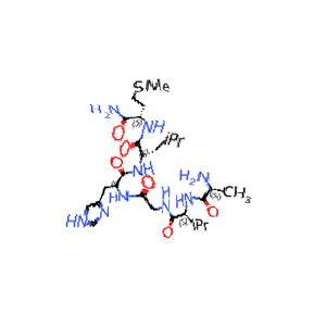 CSCC[C@H](NC(=O)[C@H](CC(C)C)NC(=O)[C@H](Cc1c[nH]cn1)NC(=O)CNC(=O)[C@@H](NC(=O)[C@H](C)N)C(C)C)C(N)=O